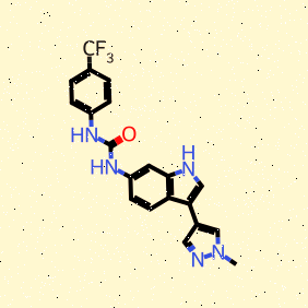 Cn1cc(-c2c[nH]c3cc(NC(=O)Nc4ccc(C(F)(F)F)cc4)ccc23)cn1